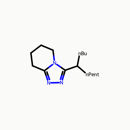 CCCCCC(CCCC)c1nnc2n1CCCC2